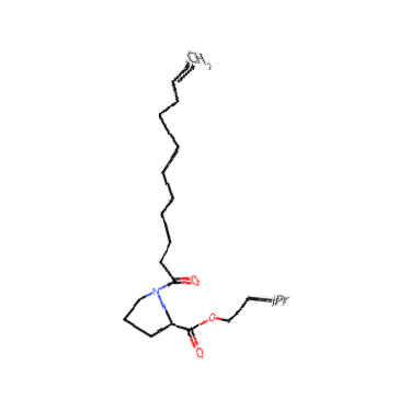 C=CCCCCCCCCC(=O)N1CCCC1C(=O)OCCC(C)C